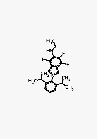 CCNc1c(F)c(F)c2cn(-c3c(C(C)C)cccc3C(C)C)cc2c1F